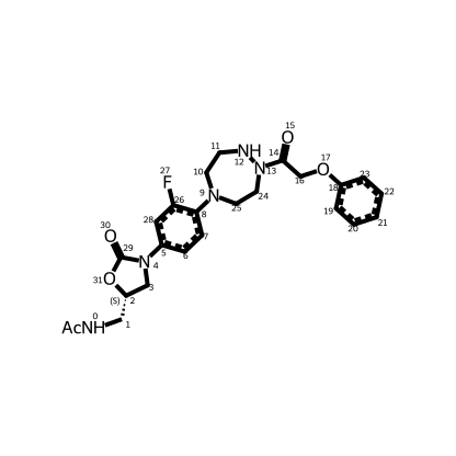 CC(=O)NC[C@H]1CN(c2ccc(N3CCNN(C(=O)COc4ccccc4)CC3)c(F)c2)C(=O)O1